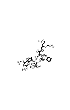 CCCC(CCC)COC(=O)[C@H](C)NP(=O)(OC[C@H]1O[C@@H](n2cnc3c(OC)nc(N)nc32)[C@](C)(N)[C@@H]1O)Oc1ccccc1